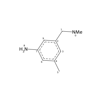 CNCc1cc(C)cc(N)c1